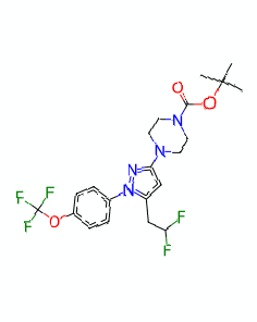 CC(C)(C)OC(=O)N1CCN(c2cc(CC(F)F)n(-c3ccc(OC(F)(F)F)cc3)n2)CC1